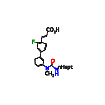 CCCCCCCNC(=O)N(C)c1cccc(-c2ccc(C=CC(=O)O)c(F)c2)c1